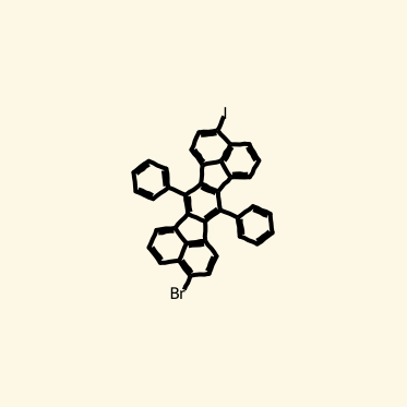 Brc1ccc2c3c(-c4ccccc4)c4c5cccc6c(I)ccc(c4c(-c4ccccc4)c3c3cccc1c23)c65